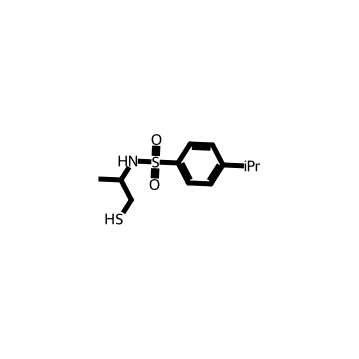 CC(CS)NS(=O)(=O)c1ccc(C(C)C)cc1